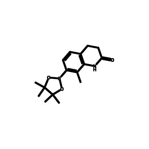 Cc1c(B2OC(C)(C)C(C)(C)O2)ccc2c1NC(=O)CC2